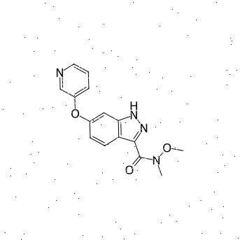 CON(C)C(=O)c1n[nH]c2cc(Oc3cccnc3)ccc12